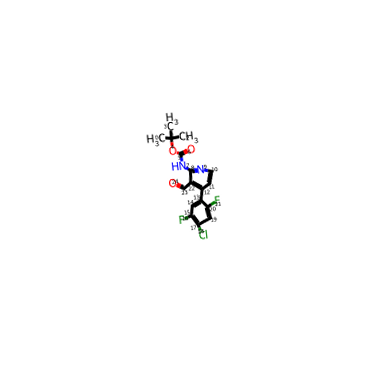 CC(C)(C)OC(=O)Nc1nccc(-c2cc(F)c(Cl)cc2F)c1C=O